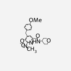 COc1ccc(Cc2cc(C(=O)NC3CCOCC3)nc3c2OCCN3C)cc1